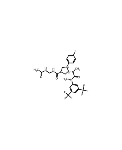 CC(=O)NCNC(=O)N1C[C@@H](N(C)C(=O)N(C)c2cc(C(F)(F)F)cc(C(F)(F)F)c2)[C@H](c2ccc(F)cc2)C1